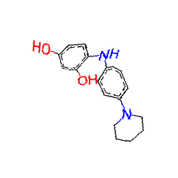 Oc1ccc(Nc2ccc(N3CCCCC3)cc2)c(O)c1